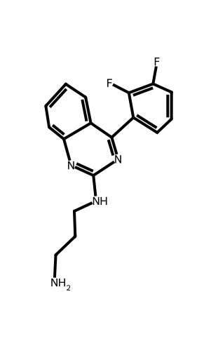 NCCCNc1nc(-c2cccc(F)c2F)c2ccccc2n1